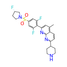 Cc1cc(-c2c(F)cc(S(=O)(=O)N3CC[C@H](F)C3)cc2F)nc2nc(C3CCNCC3)ccc12